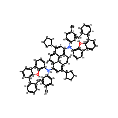 CCc1ccc(N(c2cc(C3CCCC3)c3ccc4c(N(c5ccc(CC)cc5)c5cccc6c5oc5c(-c7ccccc7C(C)C)cccc56)cc(C5CCCC5)c5ccc2c3c54)c2cccc3c2oc2c(-c4ccccc4C(C)C)cccc23)cc1